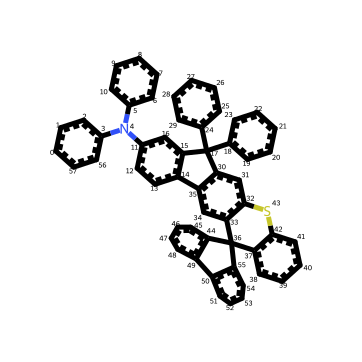 c1ccc(N(c2ccccc2)c2ccc3c(c2)C(c2ccccc2)(c2ccccc2)c2cc4c(cc2-3)C2(c3ccccc3S4)c3ccccc3-c3ccccc32)cc1